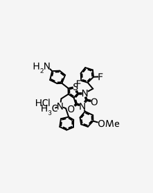 COc1cccc(-n2c(=O)c3c(CN(C)Cc4ccccc4)c(-c4ccc(N)cc4)sc3n(Cc3c(F)cccc3F)c2=O)c1.Cl